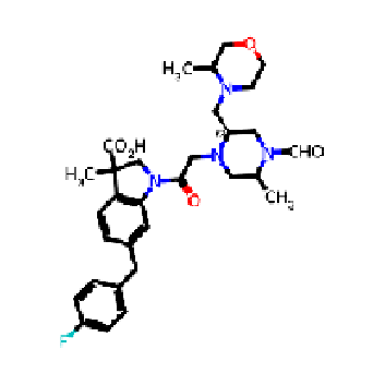 CC1CN(CC(=O)N2CC(C)(C(=O)O)c3ccc(Cc4ccc(F)cc4)cc32)[C@@H](CN2CCOCC2C)CN1C=O